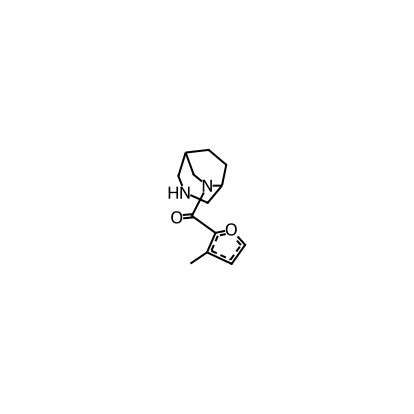 Cc1ccoc1C(=O)N1CC2CCC1CNC2